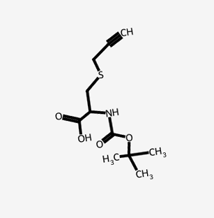 C#CCSCC(NC(=O)OC(C)(C)C)C(=O)O